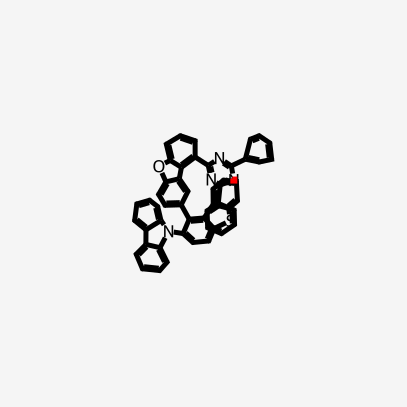 c1ccc(-c2nc(-c3ccccc3)nc(-c3cccc4oc5ccc(-c6c(-n7c8ccccc8c8ccccc87)ccc7sc8ccccc8c67)cc5c34)n2)cc1